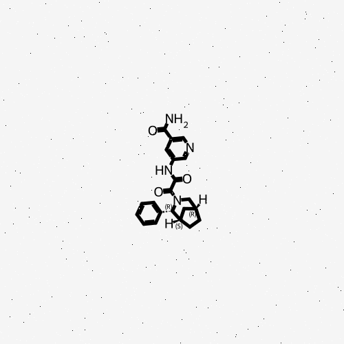 NC(=O)c1cncc(NC(=O)C(=O)N2C[C@@H]3CC[C@@H](C3)[C@@H]2c2ccccc2)c1